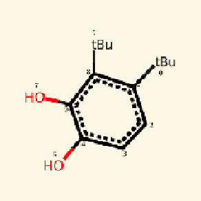 CC(C)(C)c1ccc(O)c(O)c1C(C)(C)C